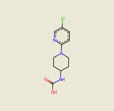 O=C(O)NC1CCN(c2ccc(Cl)cn2)CC1